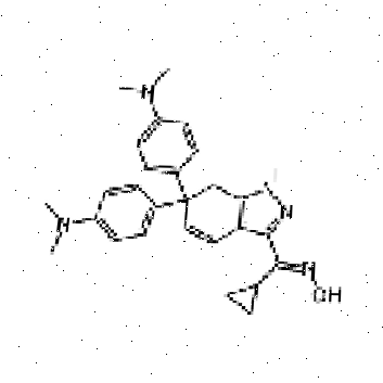 CN(C)c1ccc(C2(c3ccc(N(C)C)cc3)C=Cc3c(/C(=N/O)C4CC4)n[nH]c3C2)cc1